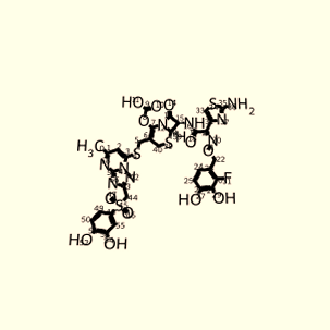 Cc1cc(SCC2=C(OC(=O)O)N3C(=O)[C@@H](NC(=O)/C(=N\OCc4ccc(O)c(O)c4F)c4csc(N)n4)[C@H]3SC2)n2nc(CS(=O)(=O)c3ccc(O)c(O)c3)nc2n1